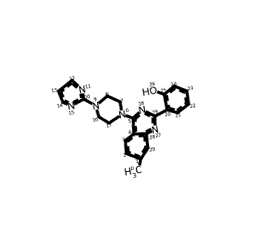 Cc1ccc2c(N3CCN(c4ncccn4)CC3)nc(-c3ccccc3O)nc2c1